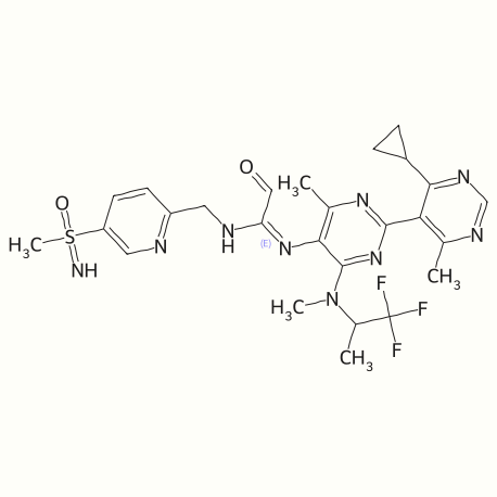 Cc1nc(-c2c(C)ncnc2C2CC2)nc(N(C)C(C)C(F)(F)F)c1/N=C(\C=O)NCc1ccc(S(C)(=N)=O)cn1